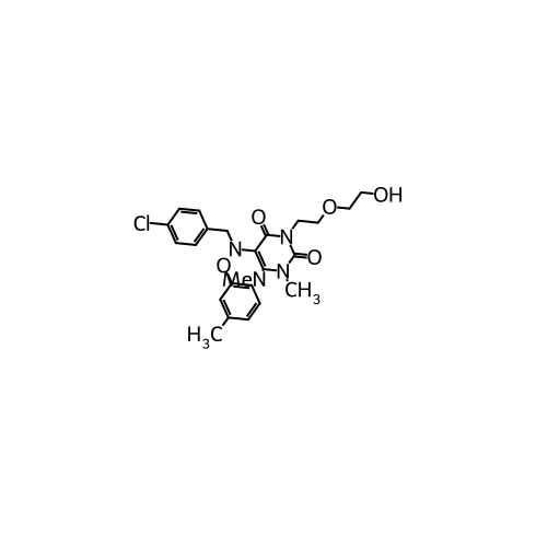 CNc1c(N(Cc2ccc(Cl)cc2)Oc2cccc(C)c2)c(=O)n(CCOCCO)c(=O)n1C